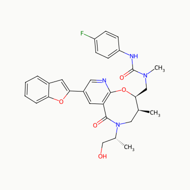 C[C@H](CO)N1C[C@H](C)[C@H](CN(C)C(=O)Nc2ccc(F)cc2)Oc2ncc(-c3cc4ccccc4o3)cc2C1=O